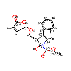 CC1=CC(O/C=C2/C(=O)N(C(=O)OC(C)(C)C)C3Cc4ccccc4C23)OC1=O